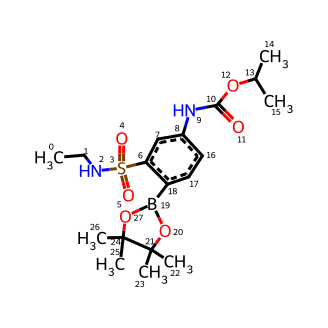 CCNS(=O)(=O)c1cc(NC(=O)OC(C)C)ccc1B1OC(C)(C)C(C)(C)O1